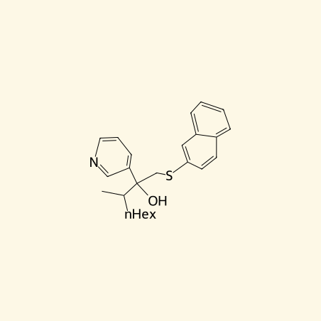 CCCCCCC(C)C(O)(CSc1ccc2ccccc2c1)c1cccnc1